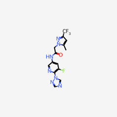 Cc1cc(C(F)(F)F)nn1CC(=O)Nc1cnc(-n2cncn2)c(F)c1